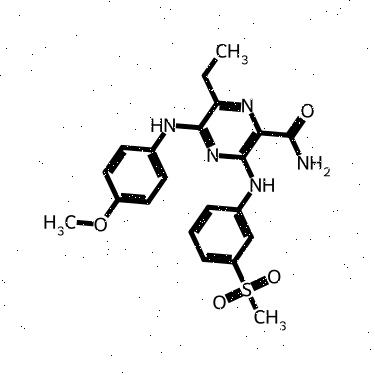 CCc1nc(C(N)=O)c(Nc2cccc(S(C)(=O)=O)c2)nc1Nc1ccc(OC)cc1